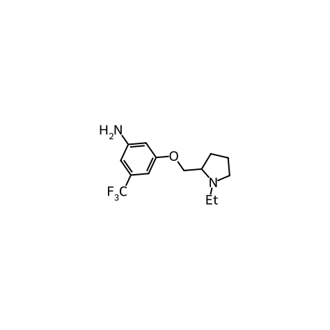 CCN1CCCC1COc1cc(N)cc(C(F)(F)F)c1